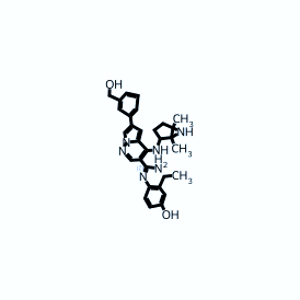 CCc1cc(O)ccc1/N=C(\N)c1cnn2cc(-c3cccc(CO)c3)cc2c1NC1CCC2(C)NC12C